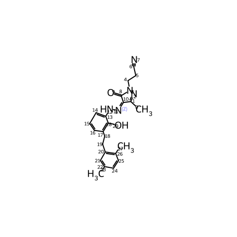 CC1=NN(CCC#N)C(=O)/C1=N\Nc1cccc(CCc2cc(C)ccc2C)c1O